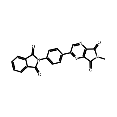 CN1C(=O)c2ncc(-c3ccc(N4C(=O)c5ccccc5C4=O)cc3)nc2C1=O